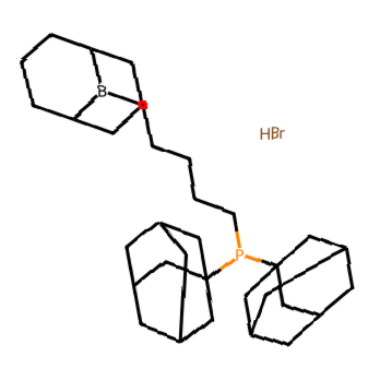 Br.C(CCB1C2CCCC1CCC2)CCP(C12CC3CC(CC(C3)C1)C2)C12CC3CC(CC(C3)C1)C2